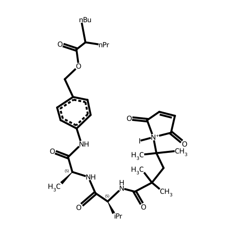 CCCCC(CCC)C(=O)OCc1ccc(NC(=O)[C@H](C)NC(=O)[C@@H](NC(=O)C(C)(C)CC(C)(C)[N+]2(I)C(=O)C=CC2=O)C(C)C)cc1